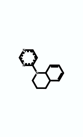 C1=CC2CCCN(c3ccncn3)C2C=C1